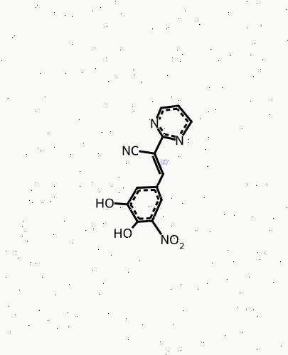 N#C/C(=C\c1cc(O)c(O)c([N+](=O)[O-])c1)c1ncccn1